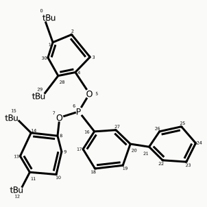 CC(C)(C)c1ccc(OP(Oc2ccc(C(C)(C)C)cc2C(C)(C)C)c2cccc(-c3ccccc3)c2)c(C(C)(C)C)c1